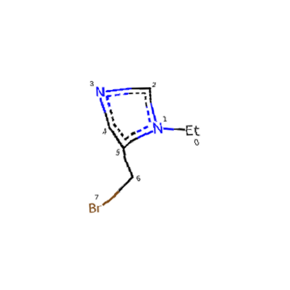 CCn1cncc1CBr